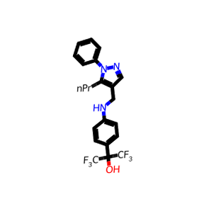 CCCc1c(CNc2ccc(C(O)(C(F)(F)F)C(F)(F)F)cc2)cnn1-c1ccccc1